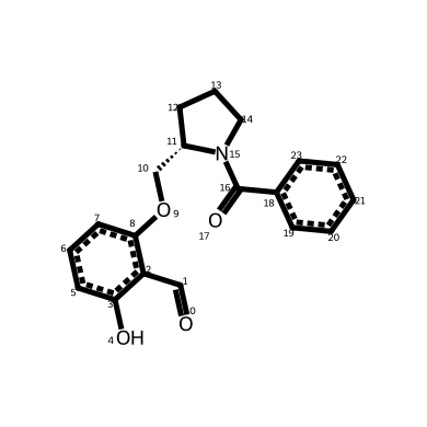 O=Cc1c(O)cccc1OC[C@@H]1CCCN1C(=O)c1ccccc1